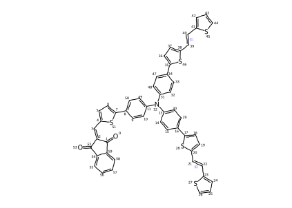 O=C1C(=Cc2ccc(-c3ccc(N(c4ccc(-c5ccc(/C=C/c6cccs6)s5)cc4)c4ccc(-c5ccc(/C=C/c6cccs6)s5)cc4)cc3)s2)C(=O)c2ccccc21